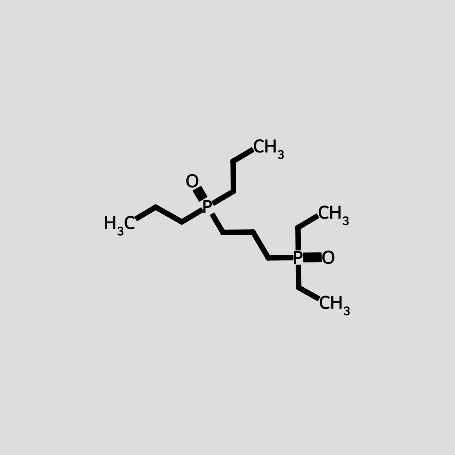 CCCP(=O)(CCC)CCCP(=O)(CC)CC